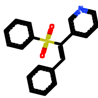 O=S(=O)(/C(=C\c1ccccc1)c1cccnc1)c1ccccc1